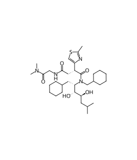 Cc1nc([C@@H](CC(=O)NCC(=O)N(C)C)C(=O)N(CC2CCCCC2)[C@@H](CC2CCCCC2)[C@@H](O)[C@@H](O)CC(C)C)cs1